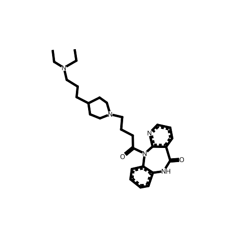 CCN(CC)CCCC1CCN(CCCC(=O)N2c3ccccc3NC(=O)c3cccnc32)CC1